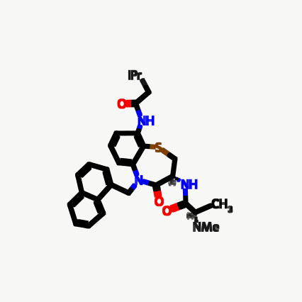 CN[C@@H](C)C(=O)N[C@H]1CSc2c(NC(=O)CC(C)C)cccc2N(Cc2cccc3ccccc23)C1=O